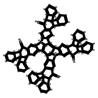 O=C1c2cc3c(cc2C2c4ccccc4C24c2ccccc2C14)c1c2c4cc5c(cc4n4c6cc7c(cc6c(c6c8cc9c(cc8n3c16)C(=O)C1c3ccccc3C13c1ccccc1C93)c24)C1c2ccccc2C12c1ccccc1C2C7=O)C(=O)C1c2ccccc2C12c1ccccc1C52